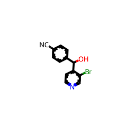 N#Cc1ccc(C(O)c2ccncc2Br)cc1